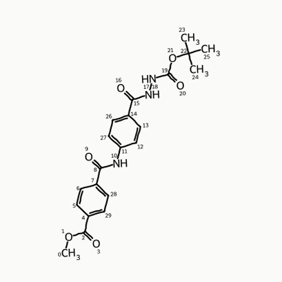 COC(=O)c1ccc(C(=O)Nc2ccc(C(=O)NNC(=O)OC(C)(C)C)cc2)cc1